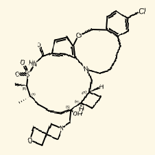 C[C@@H]1[C@@H](C)CCC[C@@](O)(CN2CC3(COC3)C2)[C@@H]2CC[C@H]2CN2CCCCc3cc(Cl)ccc3COc3ccc(cc32)C(=O)NS1(=O)=O